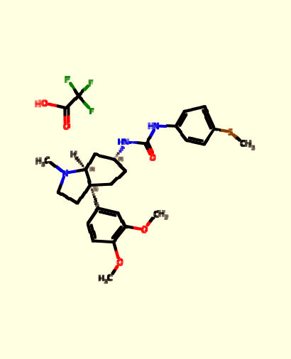 COc1ccc([C@@]23CC[C@@H](NC(=O)Nc4ccc(SC)cc4)C[C@@H]2N(C)CC3)cc1OC.O=C(O)C(F)(F)F